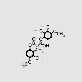 COc1ccc(OB(O)OB(O)Oc2ccc(OC)c(C)c2C)c(C)c1C